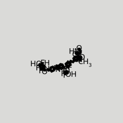 Cn1c(=O)n([C@@H]2CCC(=O)NC2=O)c2ccc(CCN3CC[C@@H](Cc4ccc5cn(C6CCC(CNC(=O)c7cc(F)c(O)c(F)c7F)CC6)nc5c4)C(F)(F)C3)cc21.O=C(O)C(F)(F)F